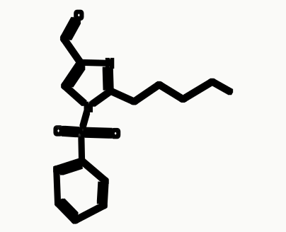 CCCCCc1nc(C=O)cn1S(=O)(=O)c1ccccc1